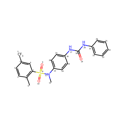 Cc1ccc(C(F)(F)F)cc1S(=O)(=O)N(C)c1ccc(NC(=O)Nc2ccccc2)cc1